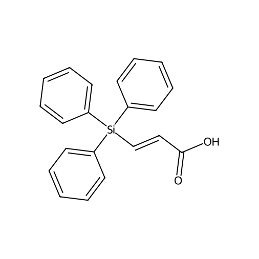 O=C(O)C=C[Si](c1ccccc1)(c1ccccc1)c1ccccc1